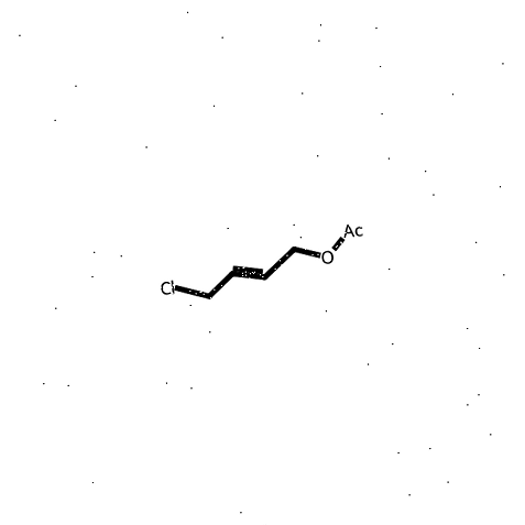 CC(=O)OCC=CCCl